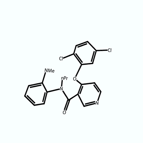 CCCN(C(=O)c1cnccc1Oc1cc(Cl)ccc1Cl)c1ccccc1NC